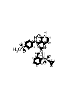 CS(=O)(=O)c1ccc(Nc2nc(NCc3ccccc3NS(=O)(=O)C3CC3)nc3cc[nH]c(=O)c23)cc1